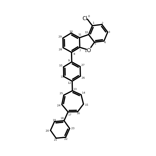 Clc1cccc2oc3c(-c4ccc(C5=CCC=C(C6=CCCC=C6)C=C5)cc4)cccc3c12